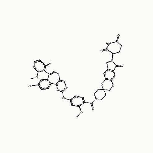 COc1cc(Nc2ncc3c(n2)-c2ccc(Cl)cc2C(c2c(F)cccc2OC)=NC3)ccc1C(=O)N1CCC2(CC1)COc1cc3c(cc1O2)CN(C1CCC(=O)NC1=O)C3=O